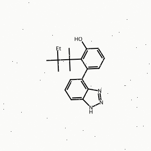 CCC(C)(C)C(C)(C)c1c(O)cccc1-c1cccc2[nH]nnc12